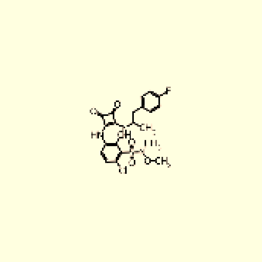 CON(C)S(=O)(=O)c1c(Cl)ccc(Nc2c(NC(C)Cc3ccc(F)cc3)c(=O)c2=O)c1O